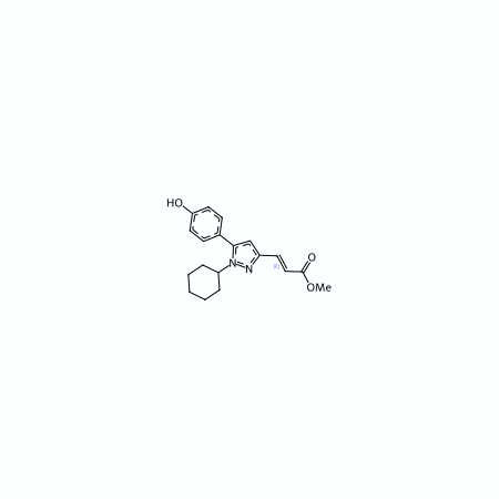 COC(=O)/C=C/c1cc(-c2ccc(O)cc2)n(C2CCCCC2)n1